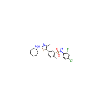 Cc1ccc(-c2sc(NC3CCCCCC3)nc2C)cc1S(=O)(=O)Nc1ccc(Cl)cc1F